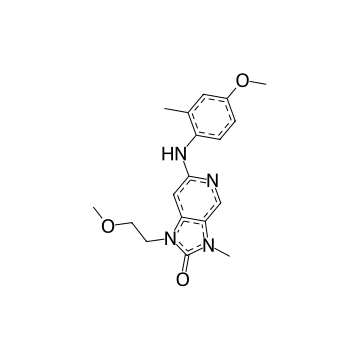 COCCn1c(=O)n(C)c2cnc(Nc3ccc(OC)cc3C)cc21